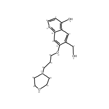 OCc1cc2c(O)ccnc2cc1OCCCN1CCOCC1